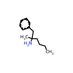 CCC[CH]C(C)(N)Cc1ccccc1